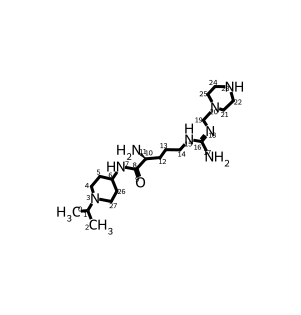 CC(C)N1CCC(NC(=O)[C@@H](N)CCCN/C(N)=N\CN2CCNCC2)CC1